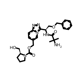 CC(C)(N)C(=O)N[C@H](COCc1ccccc1)c1nnc2ccc(COC(=O)N3CCC[C@H]3CO)cn12